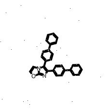 c1ccc(-c2ccc(-c3nc4occn4c3-c3ccc(-c4ccccc4)cc3)cc2)cc1